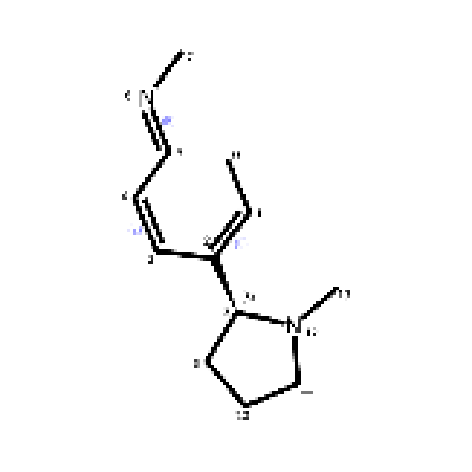 C\C=C(/C=C\C=N\C)[C@@H]1CCCN1C